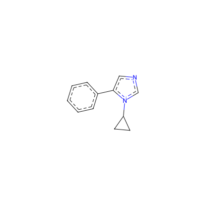 c1ccc(-c2cncn2C2CC2)cc1